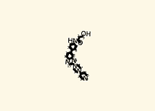 O=C(CCO)Nc1ccc(-c2ccc3ncc(N4CCN(c5ccncc5)CC4)nc3c2)cc1